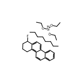 CCCCCCCC.CCO[SiH](OCC)OCC.FC1CCCc2c1ccc1c2ccc2ccccc21